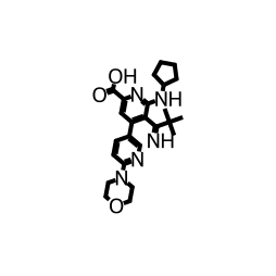 CC(C)(C)C(=N)c1c(-c2ccc(N3CCOCC3)nc2)cc(C(=O)O)nc1NC1CCCC1